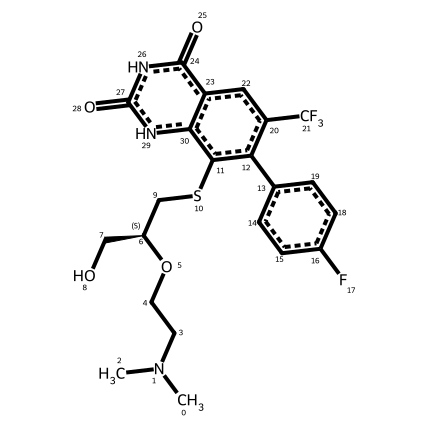 CN(C)CCO[C@@H](CO)CSc1c(-c2ccc(F)cc2)c(C(F)(F)F)cc2c(=O)[nH]c(=O)[nH]c12